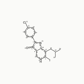 Cc1[nH]cc2c(=O)n(-c3ccc(Cl)cc3)nc-2c1CC(C)C